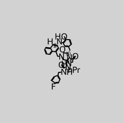 CCCN(C(=O)NCc1ccc(F)cc1)N1CC(=O)N2[C@@H](Cc3ccc(O)c(N)c3)C(=O)N(Cc3cccc4ccccc34)C[C@@H]21